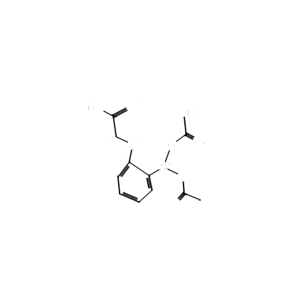 CC(=O)ON(OC(C)=O)c1ccccc1OCC(=O)O